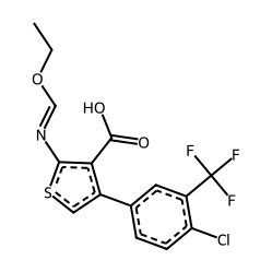 CCOC=Nc1scc(-c2ccc(Cl)c(C(F)(F)F)c2)c1C(=O)O